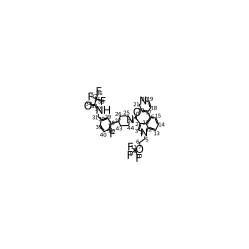 O=C(c1cn(CCOC(F)(F)F)c2cccc(-c3ccncc3)c12)N1CCC(c2cc(CNC(=O)C(F)(F)F)ccc2F)CC1